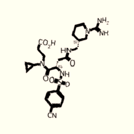 N#Cc1ccc(S(=O)(=O)N[C@@H](CC(=O)NC[C@@H]2CCCN(C(=N)N)C2)C(=O)N(CCC(=O)O)C2CC2)cc1